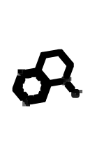 [O-][S+]1CCCc2ncncc21